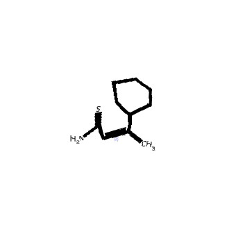 C/C(=C/C(N)=S)C1CCCCC1